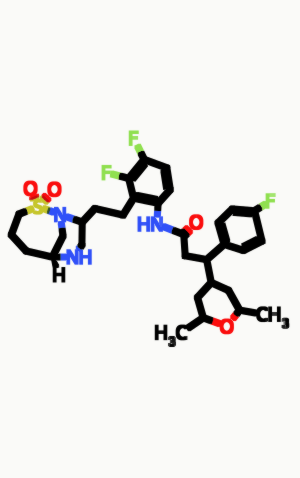 CC1CC(C(CC(=O)Nc2ccc(F)c(F)c2CCC2CN[C@@H]3CCCS(=O)(=O)N2C3)c2ccc(F)cc2)CC(C)O1